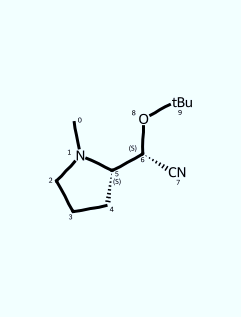 CN1CCC[C@H]1[C@@H](C#N)OC(C)(C)C